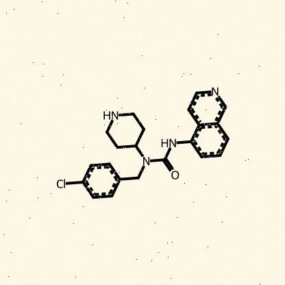 O=C(Nc1cccc2cnccc12)N(Cc1ccc(Cl)cc1)C1CCNCC1